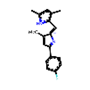 COC1=CC(c2ccc(F)cc2)=N/C1=C/c1[nH]c(C)cc1C